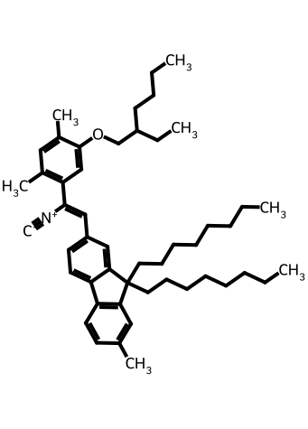 [C-]#[N+]/C(=C\c1ccc2c(c1)C(CCCCCCCC)(CCCCCCCC)c1cc(C)ccc1-2)c1cc(OCC(CC)CCCC)c(C)cc1C